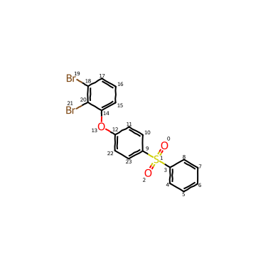 O=S(=O)(c1ccccc1)c1ccc(Oc2cccc(Br)c2Br)cc1